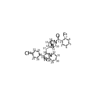 O=C(c1ccccc1F)N1CC2CCC1CN2Cc1c(-c2ccc(Cl)cc2)nc2ccccn12